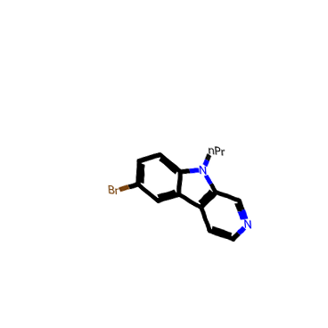 CCCn1c2ccc(Br)cc2c2ccncc21